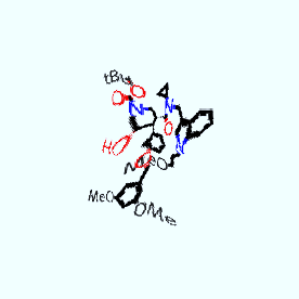 COCCCn1cc(CN(C(=O)[C@H]2CN(C(=O)OC(C)(C)C)C[C@@H](O)[C@@H]2c2cccc(OCc3cc(OC)cc(OC)c3)c2)C2CC2)c2ccccc21